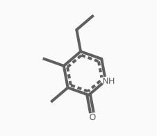 CCc1c[nH]c(=O)c(C)c1C